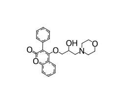 O=c1oc2ccccc2c(OCC(O)CN2CCOCC2)c1-c1ccccc1